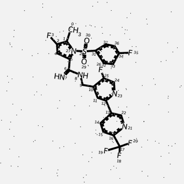 Cc1c(F)cc(C(=N)NCc2cc(-c3ccc(C(F)(F)F)nc3)ncc2F)n1S(=O)(=O)c1ccc(F)cc1